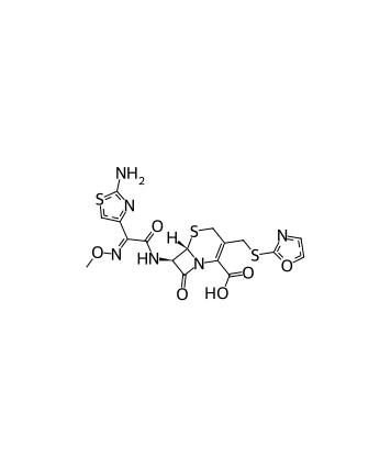 CON=C(C(=O)N[C@@H]1C(=O)N2C(C(=O)O)=C(CSc3ncco3)CS[C@@H]12)c1csc(N)n1